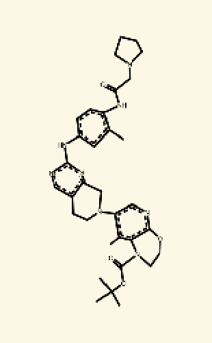 Cc1cc(Nc2ncc3c(n2)CN(c2cnc4c(c2C)N(C(=O)OC(C)(C)C)CCO4)CC3)ccc1NC(=O)CN1CCCC1